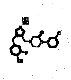 Cl.Cl.N#Cc1ccc(Cn2cncc2CN2CCN(c3cccc(Cl)c3)C(=O)C2)cc1F